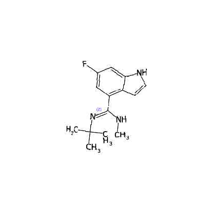 CN/C(=N\C(C)(C)C)c1cc(F)cc2[nH]ccc12